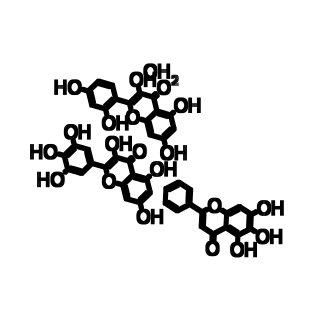 O.O=c1c(O)c(-c2cc(O)c(O)c(O)c2)oc2cc(O)cc(O)c12.O=c1c(O)c(-c2ccc(O)cc2O)oc2cc(O)cc(O)c12.O=c1cc(-c2ccccc2)oc2cc(O)c(O)c(O)c12